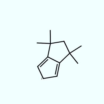 CC1(C)CC(C)(C)C2=C[C]C=C21